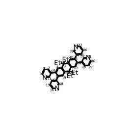 CCC1(CC)c2cc(-c3cccnc3)c(-c3cccnc3)cc2C(CC)(CC)c2cc(-c3cccnc3)c(-c3cccnc3)cc21